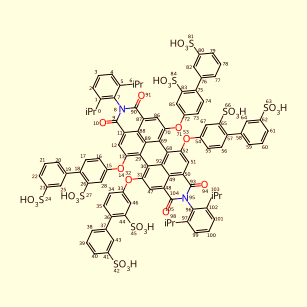 CC(C)c1cccc(C(C)C)c1N1C(=O)c2cc(Oc3ccc(-c4cccc(S(=O)(=O)O)c4)c(S(=O)(=O)O)c3)c3c4c(Oc5ccc(-c6cccc(S(=O)(=O)O)c6)c(S(=O)(=O)O)c5)cc5c6c(cc(Oc7ccc(-c8cccc(S(=O)(=O)O)c8)c(S(=O)(=O)O)c7)c(c7c(Oc8ccc(-c9cccc(S(=O)(=O)O)c9)c(S(=O)(=O)O)c8)cc(c2c37)C1=O)c64)C(=O)N(c1c(C(C)C)cccc1C(C)C)C5=O